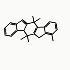 Cc1cccc2c1CC1=C2C(C)(C)C2=Cc3ccccc3C2C1(C)C